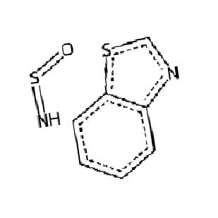 N=S=O.c1ccc2scnc2c1